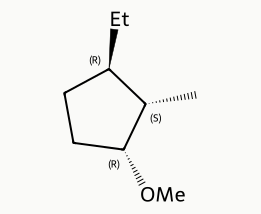 CC[C@@H]1CC[C@@H](OC)[C@H]1C